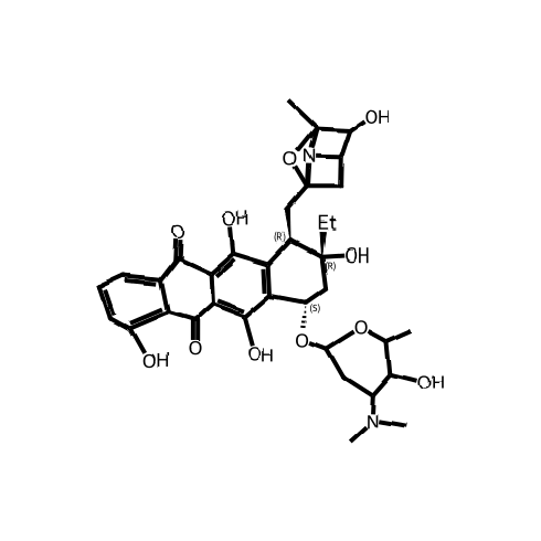 CC[C@@]1(O)C[C@H](OC2CC(N(C)C)C(O)C(C)O2)c2c(O)c3c(c(O)c2[C@H]1CC12CC4C(O)C(C)(O1)N42)C(=O)c1cccc(O)c1C3=O